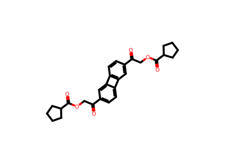 O=C(COC(=O)C1CCCC1)c1ccc2c(c1)-c1ccc(C(=O)COC(=O)C3CCCC3)cc1-2